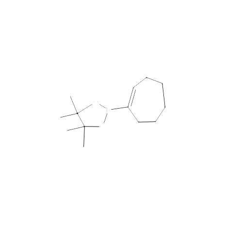 CC1(C)OB(C2=CCCCCC2)OC1(C)C